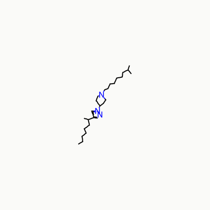 CCCCCCC(C)c1cnn(C2CCN(CCCCCCCC(C)C)CC2)c1